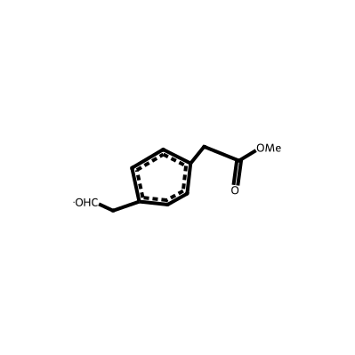 COC(=O)Cc1ccc(C[C]=O)cc1